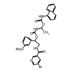 COc1cccc(C(CNC(=O)c2cncc(Br)c2)OC(=O)NC(C)OC(=O)Nc2cccc3ccccc23)c1